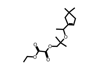 CCOC(=O)C(=O)OCC(C)(C)OC(C)C1=CCC(C)(C)C1